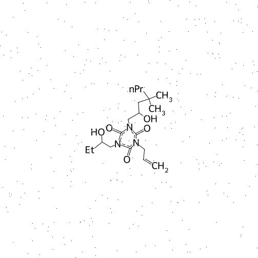 C=CCn1c(=O)n(CC(O)CC)c(=O)n(CC(O)CC(C)(C)CCC)c1=O